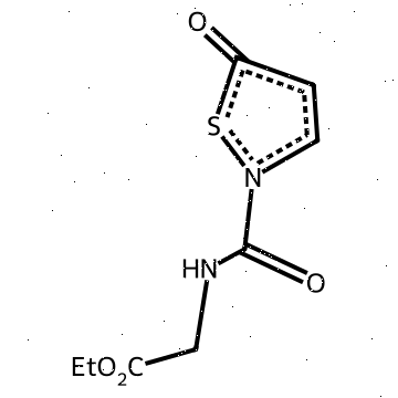 CCOC(=O)CNC(=O)n1ccc(=O)s1